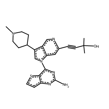 CN1CCC(c2cn(-c3nc(N)nc4ccsc34)c3cc(C#CC(C)(C)O)ncc23)CC1